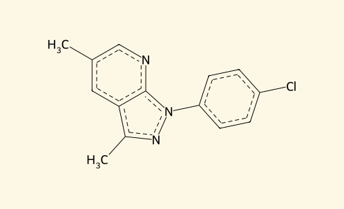 Cc1cnc2c(c1)c(C)nn2-c1ccc(Cl)cc1